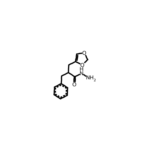 NNC(=O)C(CC1=COCO1)Cc1ccccc1